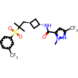 Cn1nc(C(F)(F)F)cc1C(=O)N[C@H]1C[C@H](CC(C)(C)S(=O)(=O)c2cccc(C(F)(F)F)c2)C1